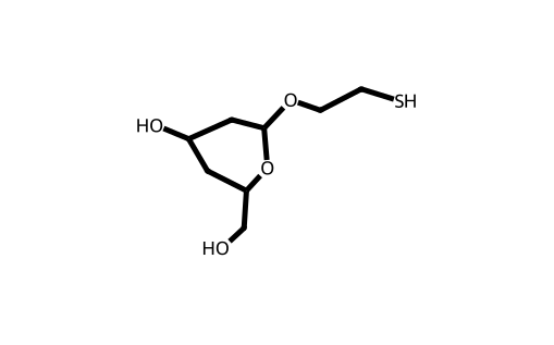 OCC1CC(O)CC(OCCS)O1